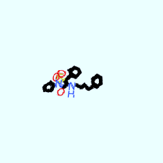 O=C1C(NCCCCc2ccccc2)=C(c2ccccc2)S(=O)(=O)N1C1CCCC1